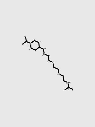 CC(C)NCCOCCOCCOCC1CCN(C(C)C)CC1